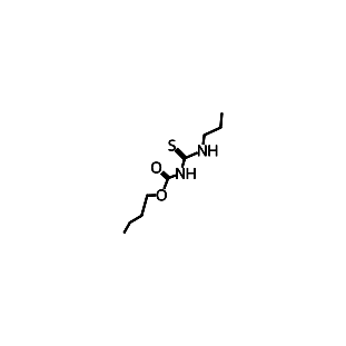 CCCCOC(=O)NC(=S)NCCC